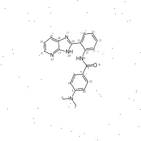 CN(C)c1ccc(C(=O)Nc2ccccc2-c2nc3cccnc3[nH]2)cc1